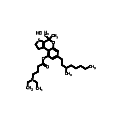 CCCCCC(C)CCc1cc(OC(=O)CCCN(CC)CC)c2c(c1)OC(C)(C)C1=C2CCS1.Cl